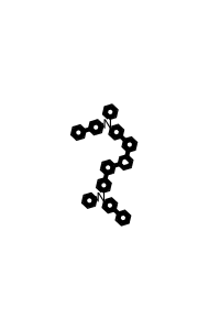 C1=CC(c2cccc(-c3ccc(N(c4ccccc4)c4ccc(-c5ccccc5)cc4)cc3)c2)CC(c2cccc(-c3ccc(N(c4ccccc4)c4ccc(-c5ccccc5)cc4)cc3)c2)=C1